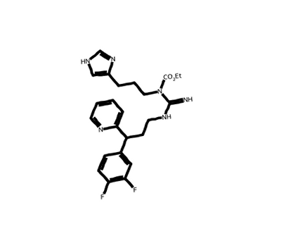 CCOC(=O)N(CCCc1c[nH]cn1)C(=N)NCCC(c1ccc(F)c(F)c1)c1ccccn1